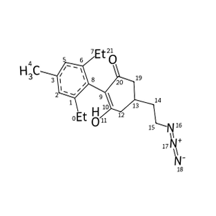 CCc1cc(C)cc(CC)c1C1=C(O)CC(CCN=[N+]=[N-])CC1=O